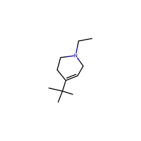 CCN1CC=C(C(C)(C)C)CC1